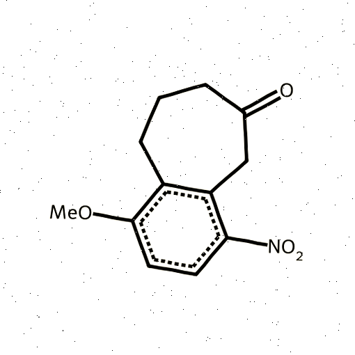 COc1ccc([N+](=O)[O-])c2c1CCCC(=O)C2